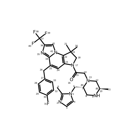 Cc1nccn1C[C@H]1CN[C@H](C)CN1CC(=O)N1CC(C)(C)c2c1cc(Cc1ccc(F)cc1)c1nc(C(F)(F)F)cn21